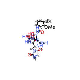 COc1c(C(=O)NC2CN3C(=N)NC(CN4C(=O)CN(C)C4=O)C4NC(=N)NC43C2(O)O)cccc1C(C)(C)C